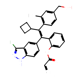 C=CC(=O)Oc1ccccc1/C(=C(\c1ccc(CO)cc1C)C1CCC1)c1ccc2[nH]nc(F)c2c1